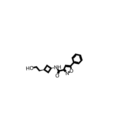 O=C(N[C@H]1C[C@H](CCO)C1)c1cc(-c2ccccc2)on1